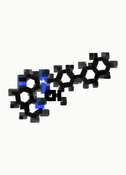 Cn1c(-c2ccc(-c3ccc4ccccc4c3)cc2)nc2cnc3ccc4cccnc4c3c21